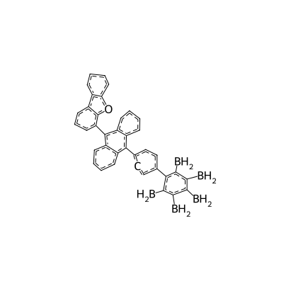 Bc1c(B)c(B)c(-c2ccc(-c3c4ccccc4c(-c4cccc5c4oc4ccccc45)c4ccccc34)cc2)c(B)c1B